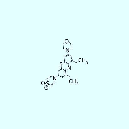 CCc1cc(N2C=CS(=O)(=O)C=C2)cc2[s+]c3cc(N4CCOCC4)cc(CC)c3nc12